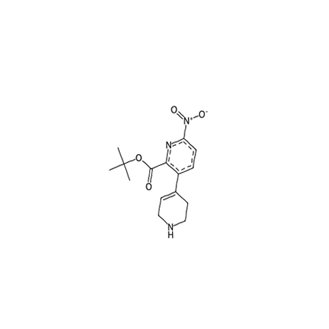 CC(C)(C)OC(=O)c1nc([N+](=O)[O-])ccc1C1=CCNCC1